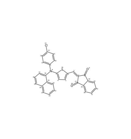 O=C1C(=Cc2ccc(N(c3ccc(Cl)cc3)c3cccc4ccccc34)s2)C(=O)c2ccccc21